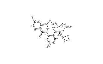 O=CCC(NC1CCC1)(C(=O)O)C1c2ccc(Cl)cc2N(C(=O)c2ccc(F)cc2)C2CCCC21